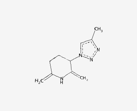 C=C1CCC(n2cc(C)nn2)C(=C)N1